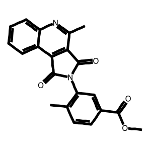 COC(=O)c1ccc(C)c(N2C(=O)c3c(C)nc4ccccc4c3C2=O)c1